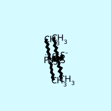 CCCCCCCCN(CCCCCCCC)C(=S)[S-].CCCCCCCCN(CCCCCCCC)C(=S)[S-].[Pb+2]